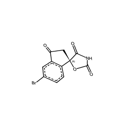 O=C1NC(=O)[C@]2(CC(=O)c3cc(Br)ccc32)O1